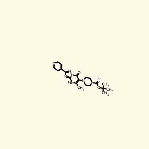 Cc1[nH]c2nc(C3=CCOCC3)nn2c(=O)c1N1CCN(C(=O)OC(C)(C)C)CC1